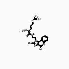 CCCCc1nc2c(N)nc3ccccc3c2n1CCNC(=O)[C@H](CCCNC(=N)N)NC(C)=O